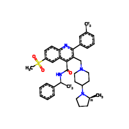 C[C@H]1CCCN1C1CCN(Cc2c(-c3cccc(C(F)(F)F)c3)nc3ccc(S(C)(=O)=O)cc3c2C(=O)NC(c2ccccc2)C(F)(F)F)CC1